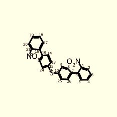 O=[N+]([O-])c1ccccc1-c1ccc(Sc2ccc(-c3ccccc3[N+](=O)[O-])cc2)cc1